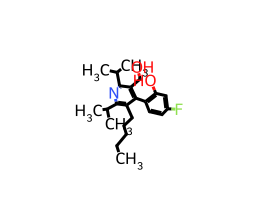 CCCCCc1c(C(C)C)nc(C(C)C)c(CO)c1-c1ccc(F)cc1O